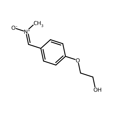 C/[N+]([O-])=C\c1ccc(OCCO)cc1